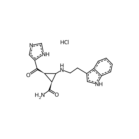 Cl.NC(=O)[C@@H]1C(NCCc2c[nH]c3ccccc23)[C@@H]1C(=O)c1cnc[nH]1